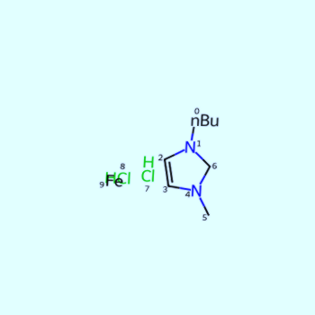 CCCCN1C=CN(C)C1.Cl.Cl.[Fe]